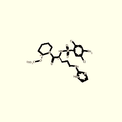 CCOC(=O)O[C@@H]1CCCCN1C(=O)[C@H](CCCNc1ncc[nH]1)NS(=O)(=O)c1cc(Cl)c(N)cc1Cl